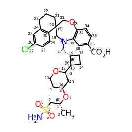 C[C@H](CS(N)(=O)=O)O[C@H]1CCO[C@@H]([C@@H]2CC[C@H]2CN2C[C@@]3(CCCc4cc(Cl)ccc43)COc3ccc(C(=O)O)cc32)C1